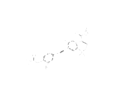 CCOC(=O)C1=CCC(C)(C)c2cc(C#Cc3ccc(CC(=O)OC)c(F)c3)c(C)cc21